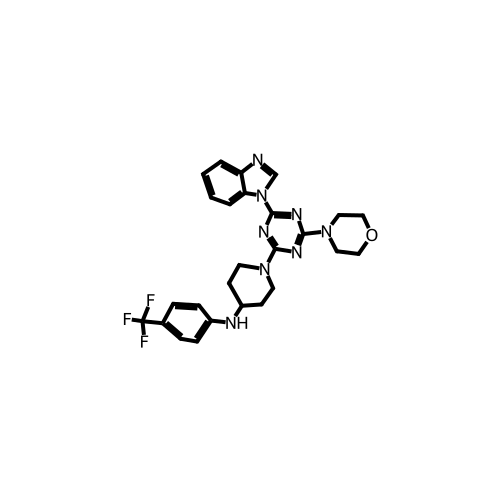 FC(F)(F)c1ccc(NC2CCN(c3nc(N4CCOCC4)nc(-n4cnc5ccccc54)n3)CC2)cc1